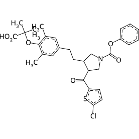 Cc1cc(CCC2CN(C(=O)Oc3ccccc3)CC2C(=O)c2ccc(Cl)s2)cc(C)c1OC(C)(C)C(=O)O